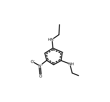 CCNc1[c]c(NCC)cc([N+](=O)[O-])c1